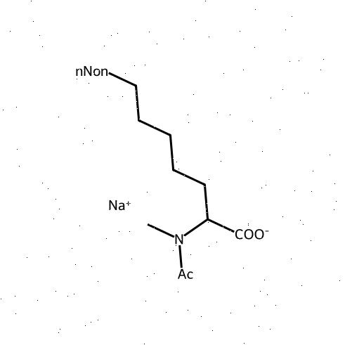 CCCCCCCCCCCCCCC(C(=O)[O-])N(C)C(C)=O.[Na+]